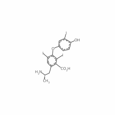 C[C@@H](N)Cc1cc(I)c(Oc2ccc(O)c(I)c2)c(I)c1C(=O)O